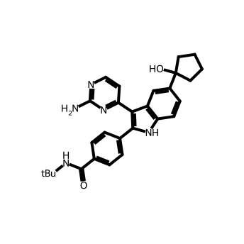 CC(C)(C)NC(=O)c1ccc(-c2[nH]c3ccc(C4(O)CCCC4)cc3c2-c2ccnc(N)n2)cc1